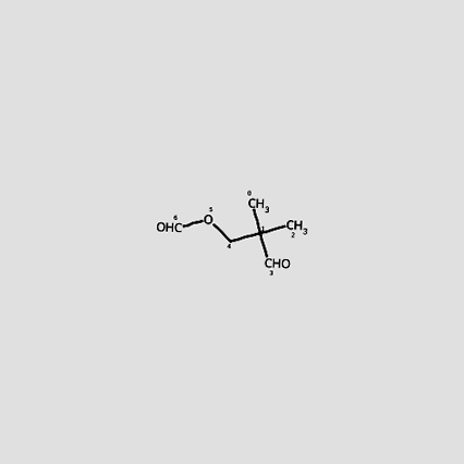 CC(C)(C=O)COC=O